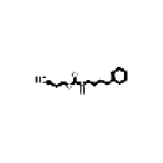 C#CCCOC(=O)NCCCCC1CCCCC1